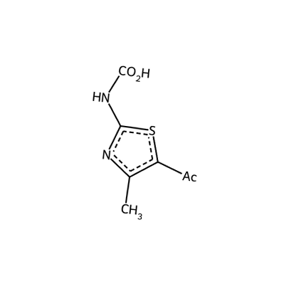 CC(=O)c1sc(NC(=O)O)nc1C